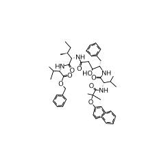 CC[C@H](C)[C@H](NC(=O)C[C@H](O)[C@H](Cc1ccccc1)NC(=O)[C@@H](NC(=O)C(C)(C)Oc1ccc2ccccc2c1)C(C)C)C(=O)N[C@H](C(=O)OCc1ccccc1)C(C)C